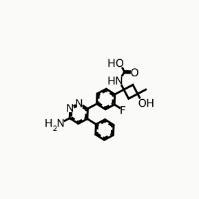 CC1(O)CC(NC(=O)O)(c2ccc(-c3nnc(N)cc3-c3ccccc3)cc2F)C1